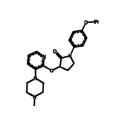 CC(C)Oc1ccc(N2CCC(Oc3ncccc3N3CCN(C)CC3)C2=O)cc1